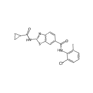 Cc1cccc(Cl)c1NC(=O)c1ccc2nc(NC(=O)C3CC3)sc2c1